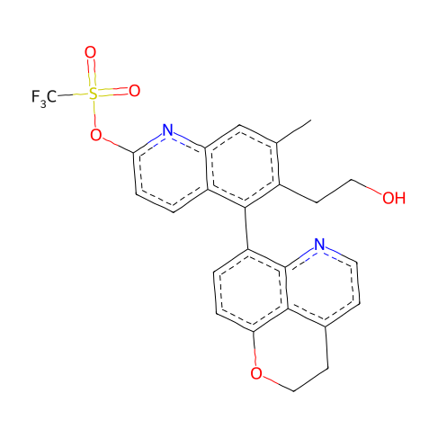 Cc1cc2nc(OS(=O)(=O)C(F)(F)F)ccc2c(-c2ccc3c4c(ccnc24)CCO3)c1CCO